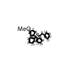 COc1ccc(C(SCCc2ccccc2)(c2ccccc2)c2ccccc2)cc1